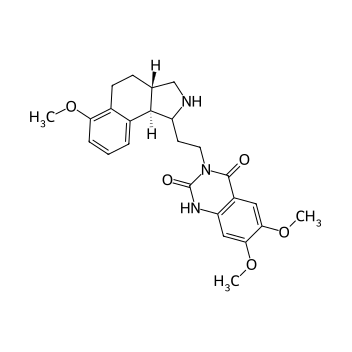 COc1cc2[nH]c(=O)n(CCC3NC[C@H]4CCc5c(OC)cccc5[C@H]34)c(=O)c2cc1OC